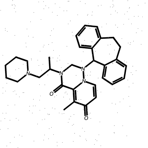 Cc1c2n(ccc1=O)N(C1c3ccccc3CCc3ccccc31)CN(C(C)CN1CCCCC1)C2=O